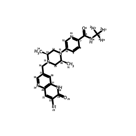 [2H]C([2H])([2H])NC(=O)c1ccc(N2C[C@H](C)N(Cc3cnc4cc(CC)c(=O)[nH]c4c3)C[C@@H]2C)cn1